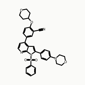 N#Cc1cc(-c2ccnc3c2cc(-c2ccc(N4CCOCC4)cc2)n3S(=O)(=O)c2ccccc2)ccc1OC1CCOCC1